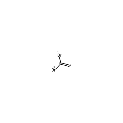 [C]=C(Br)Br